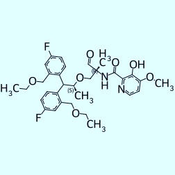 CCOCc1cc(F)ccc1C(c1ccc(F)cc1COCC)[C@H](C)OC[C@](C)(C=O)NC(=O)c1nccc(OC)c1O